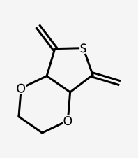 C=C1SC(=C)C2OCCOC12